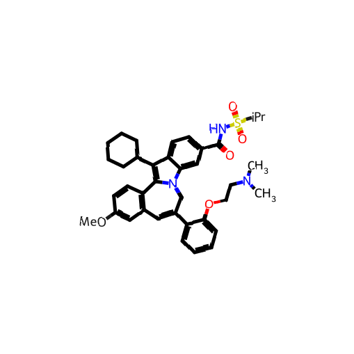 COc1ccc2c(c1)C=C(c1ccccc1OCCN(C)C)Cn1c-2c(C2CCCCC2)c2ccc(C(=O)NS(=O)(=O)C(C)C)cc21